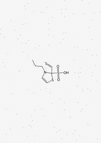 CCCN1C=CSC1(C=S)S(=O)(=O)O